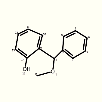 COC(c1ccccc1)c1ccccc1O